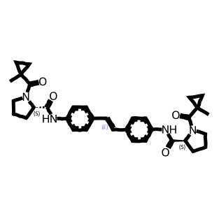 CC1(C(=O)N2CCC[C@H]2C(=O)Nc2ccc(/C=C/c3ccc(NC(=O)[C@@H]4CCCN4C(=O)C4(C)CC4)cc3)cc2)CC1